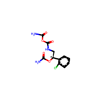 NC(=O)OC(=O)NC[C@H](OC(N)=O)c1ccccc1Cl